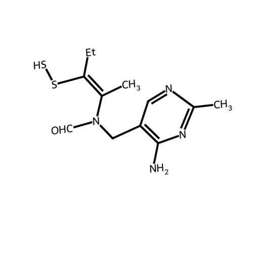 CC/C(SS)=C(\C)N(C=O)Cc1cnc(C)nc1N